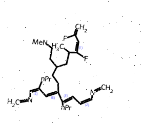 C=N\C=C/C=C(CCC)/C(=C/C(=C\N=C)CCC)CCC(CCNC)CC(C)/C(F)=C\C(=C)F